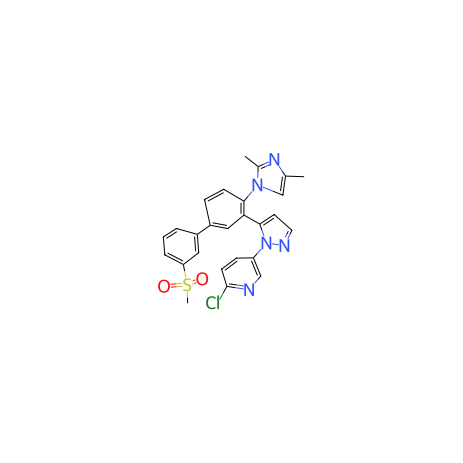 Cc1cn(-c2ccc(-c3cccc(S(C)(=O)=O)c3)cc2-c2ccnn2-c2ccc(Cl)nc2)c(C)n1